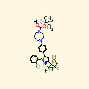 CC(C)(C)OC(=O)N1CCCN(c2ccc(C3CC(C(O)(C(F)(F)F)C(F)(F)F)=NN3c3ccccc3Cl)cc2)CC1